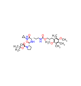 COc1c(C)c(C)c(OC)c(CCCOC(=O)NCCC[C@H](NC(=O)[C@@H]2CCCN2C(=O)OC(C)(C)C)C(=O)NC2CC2)c1C